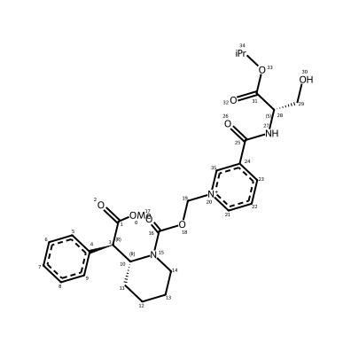 COC(=O)[C@H](c1ccccc1)[C@H]1CCCCN1C(=O)OC[n+]1cccc(C(=O)N[C@@H](CO)C(=O)OC(C)C)c1